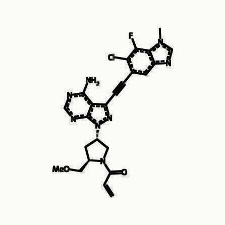 C=CC(=O)N1C[C@@H](n2nc(C#Cc3cc4ncn(C)c4c(F)c3Cl)c3c(N)ncnc32)C[C@@H]1COC